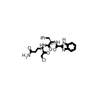 CC(C)C[C@@H](NC(=O)c1nc2ccccc2[nH]1)C(=O)NN(CCC(N)=O)C(=O)CCl